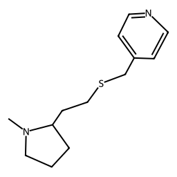 CN1CCCC1CCSCc1ccncc1